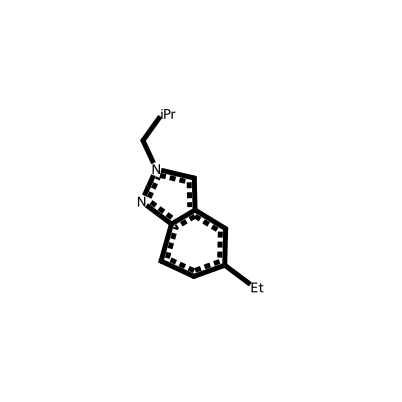 [CH2]Cc1ccc2nn(CC(C)C)cc2c1